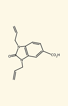 C=CCn1c(=O)n(CC=C)c2cc(C(=O)O)ccc21